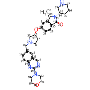 C[C@H]1c2cc(O[C@H]3CCN(Cc4ccc5nc(N6CCOCC6)ncc5c4)C3)ccc2C(=O)N1[C@H]1CCCNC1